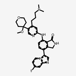 COC1(c2cnc(Nc3ccc(-c4cnc5cc(F)ccn45)c4c3C(=O)NC4)cc2CCCN(C)C)CCOCC1